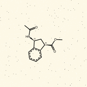 COC(=O)[C@@H]1C[C@H](NC(C)=O)c2ccccc21